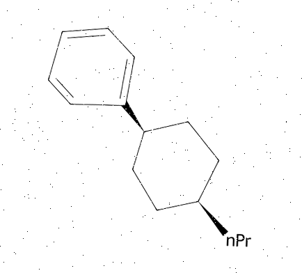 CCC[C@H]1CC[C@@H](c2ccccc2)CC1